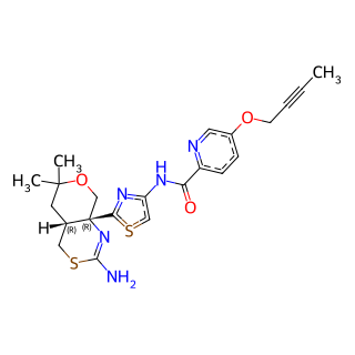 CC#CCOc1ccc(C(=O)Nc2csc([C@]34COC(C)(C)C[C@H]3CSC(N)=N4)n2)nc1